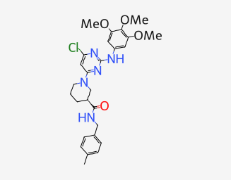 COc1cc(Nc2nc(Cl)cc(N3CCC[C@H](C(=O)NCc4ccc(C)cc4)C3)n2)cc(OC)c1OC